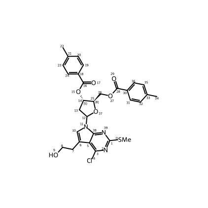 CSc1nc(Cl)c2c(CCO)cn(C3C[C@H](OC(=O)c4ccc(C)cc4)[C@@H](COC(=O)c4ccc(C)cc4)O3)c2n1